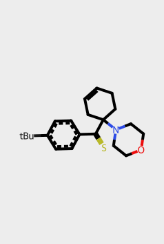 CC(C)(C)c1ccc(C(=S)C2(N3CCOCC3)CC=CCC2)cc1